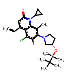 C=Cc1cc(=O)n(C2CC2)c2c(C)c(N3CC[C@H](O[Si](C)(C)C(C)(C)C)C3)c(F)c(F)c12